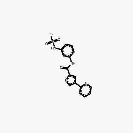 CCS(=O)(=O)Nc1cccc(NC(=O)c2cc(-c3ccccn3)cs2)c1